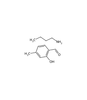 CCCCN.Cc1ccc(C=O)c(O)c1